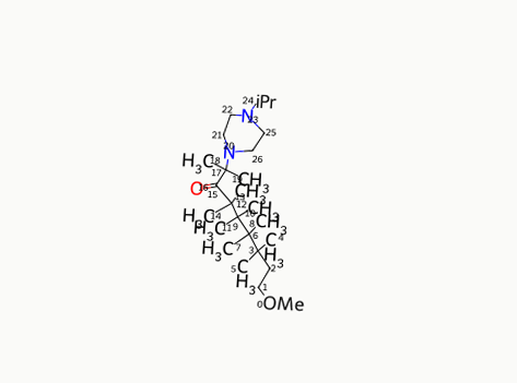 COCCC(C)(C)C(C)(C)C(C)(C)C(C)(C)C(=O)C(C)(C)N1CCN(C(C)C)CC1